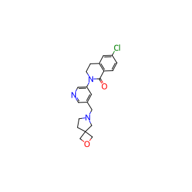 O=C1c2ccc(Cl)cc2CCN1c1cncc(CN2CCC3(COC3)C2)c1